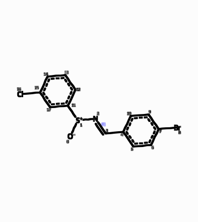 [O-][S+](/N=C/c1ccc(Br)cc1)c1cccc(Cl)c1